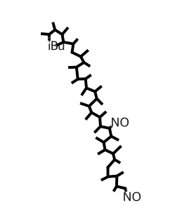 CCC(C)C(C)C(C)C(C)C(C)C(C)CC(C)C(C)C(C)C(C)C(C)C(C)C(C)C(C)C(C)C(C)C(C)C(C)C(N=O)C(C)C(C)C(C)C(C)C(C)CC(C)C(C)C(C)CN=O